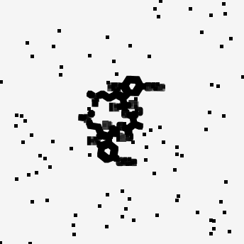 CCC(CC)(OC(=O)C(C)C(=O)OC(CC)(CC)c1c(CCN(C)C)[nH]c2ccc(OC)cc12)c1c(CCN(C)C)[nH]c2ccc(OC)cc12